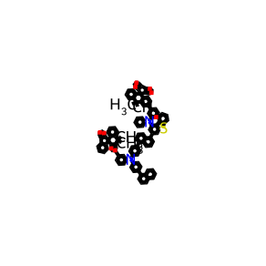 CC1(C)c2ccccc2C2(c3ccccc3-c3ccccc32)c2ccc(-c3cccc(N(c4ccc(-c5cccc6ccccc56)cc4)c4ccc(-c5cccc6c(-c7cc(N(c8ccccc8)c8cccc(-c9ccc%10c(c9)C(C)(C)c9ccccc9C%109c%10ccccc%10-c%10ccccc%109)c8)c8c(c7)sc7ccccc78)cccc56)cc4)c3)cc21